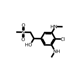 CNc1cc(C(O)CS(C)(=O)=O)cc(NC)c1Cl